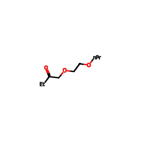 CCCOCCOCC(=O)CC